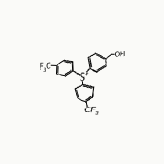 OCc1ccc([S+](c2ccc(C(F)(F)F)cc2)c2ccc(C(F)(F)F)cc2)cc1